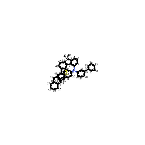 C[Si]1(C)c2cccc(N(c3ccc(-c4ccc5ccccc5c4)cc3)c3cccc(-c4ccccc4)c3)c2-c2c1ccc1c2sc2ccccc21